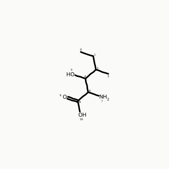 CCC(C)C(O)C(N)C(=O)O